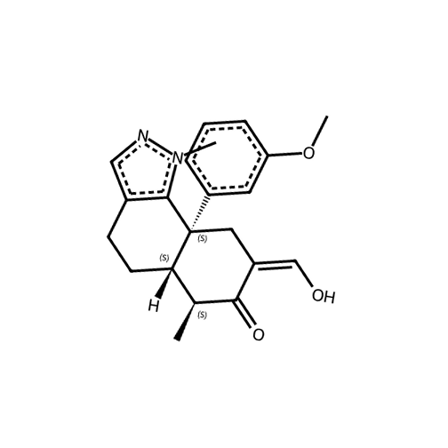 COc1cccc([C@]23CC(=CO)C(=O)[C@@H](C)[C@@H]2CCc2cnn(C)c23)c1